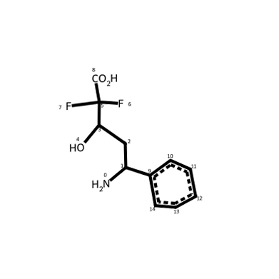 NC(CC(O)C(F)(F)C(=O)O)c1ccccc1